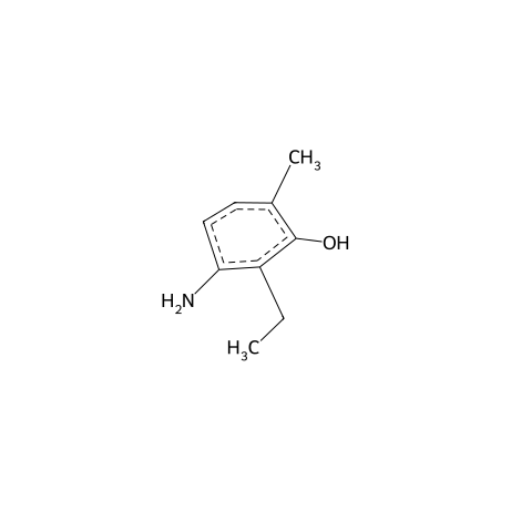 CCc1c(N)ccc(C)c1O